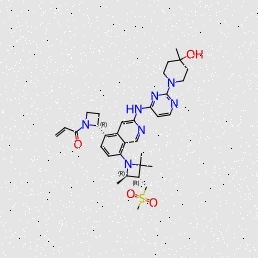 C=CC(=O)N1CC[C@@H]1c1ccc(N2[C@H](C)[C@@H](CS(C)(=O)=O)C2(C)C)c2cnc(Nc3ccnc(N4CCC(C)(O)CC4)n3)cc12